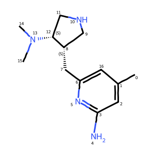 Cc1cc(N)nc(C[C@H]2CNC[C@H]2N(C)C)c1